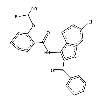 CCCC(CC)Oc1ccccc1C(=O)Nc1c(C(=O)c2ccccc2)[nH]c2cc(Cl)ccc12